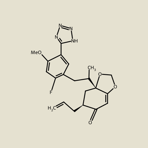 C=CC[C@H]1C[C@]2(C(C)Cc3cc(-c4nnn[nH]4)c(OC)cc3F)OCOC2=CC1=O